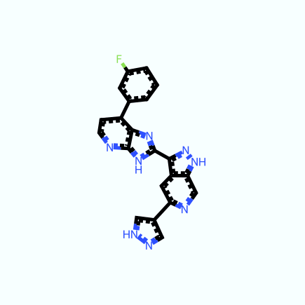 Fc1cccc(-c2ccnc3[nH]c(-c4n[nH]c5cnc(-c6cn[nH]c6)cc45)nc23)c1